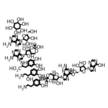 NCCc1ccc(O)c(O)c1.NC[C@H](O)c1ccc(O)c(O)c1.N[C@@H](Cc1ccc(O)c(O)c1)C(=O)O.Nc1nc2c(ncn2[C@@H]2O[C@@H]3COP(=O)(O)O[C@H]3[C@H]2O)c(=O)[nH]1.Nc1ncnc2c1ncn2[C@@H]1O[C@@H]2COP(=O)(O)O[C@H]2[C@H]1O.Nc1ncnc2c1ncn2[C@@H]1O[C@H](CO)[C@@H](O)[C@H]1O.OC[C@H]1O[C@@H](n2cnc3c(O)ncnc32)[C@H](O)[C@@H]1O.O[C@H]1[C@H](O)[C@@H](O)[C@H](O)[C@@H](O)[C@H]1O